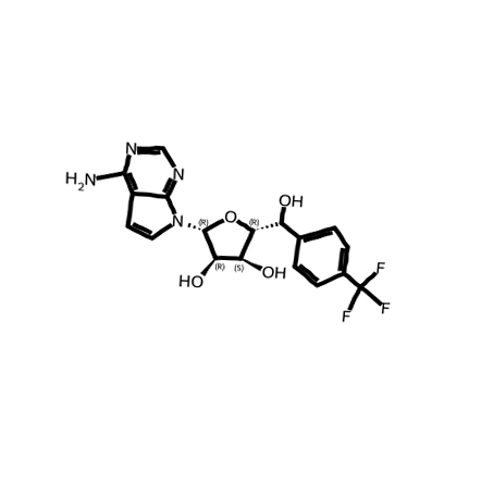 Nc1ncnc2c1ccn2[C@@H]1O[C@H](C(O)c2ccc(C(F)(F)F)cc2)[C@@H](O)[C@H]1O